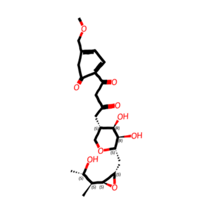 COCC1=CC=C(C(=O)CC(=O)C[C@H]2CO[C@@H](C[C@@H]3O[C@H]3[C@@H](C)[C@H](C)O)[C@H](O)[C@@H]2O)C(=O)C1